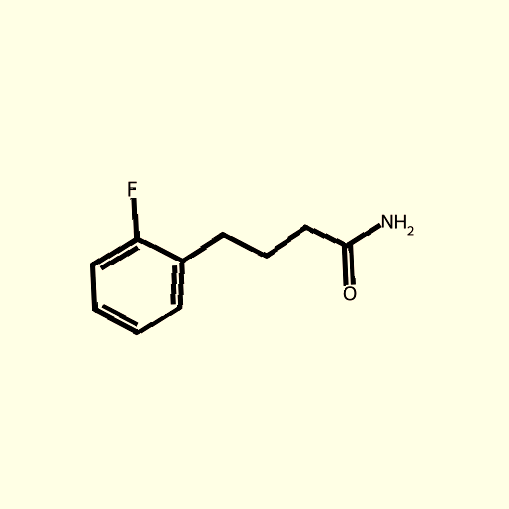 NC(=O)CCCc1ccccc1F